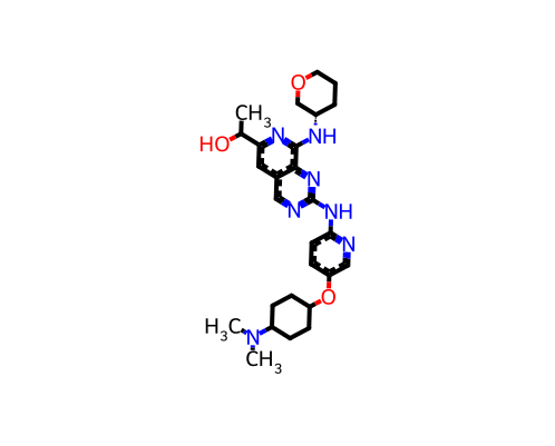 CC(O)c1cc2cnc(Nc3ccc(OC4CCC(N(C)C)CC4)cn3)nc2c(N[C@H]2CCCOC2)n1